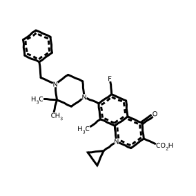 Cc1c(N2CCN(Cc3ccccc3)C(C)(C)C2)c(F)cc2c(=O)c(C(=O)O)cn(C3CC3)c12